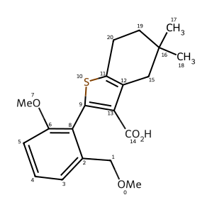 COCc1cccc(OC)c1-c1sc2c(c1C(=O)O)CC(C)(C)CC2